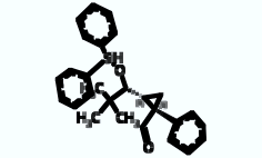 CC(C)(C)C(O[SiH](c1ccccc1)c1ccccc1)[C@@H]1C[C@@]1(C=O)c1ccccc1